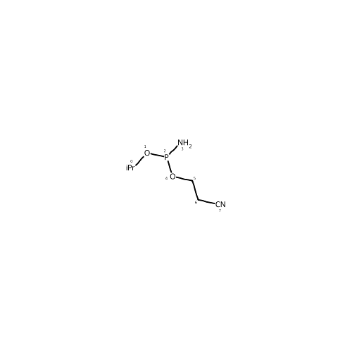 CC(C)OP(N)OCCC#N